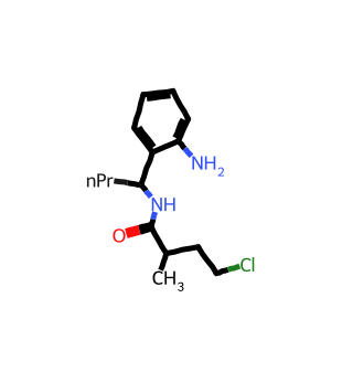 CCCC(NC(=O)C(C)CCCl)c1ccccc1N